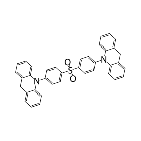 O=S(=O)(c1ccc(N2c3ccccc3Cc3ccccc32)cc1)c1ccc(N2c3ccccc3Cc3ccccc32)cc1